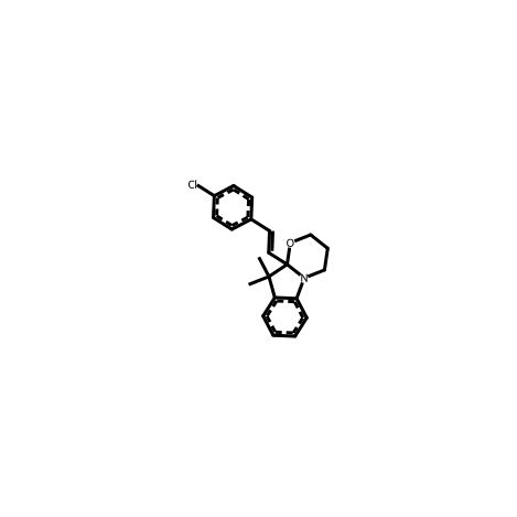 CC1(C)c2ccccc2N2CCCOC21/C=C/c1ccc(Cl)cc1